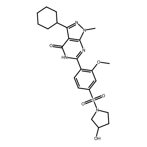 COc1cc(S(=O)(=O)N2CCC(O)C2)ccc1-c1nc2c(c(C3CCCCC3)nn2C)c(=O)[nH]1